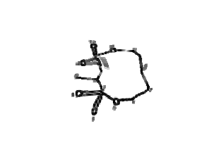 CC1S(=O)(=O)OCCCCOS1(=O)=O